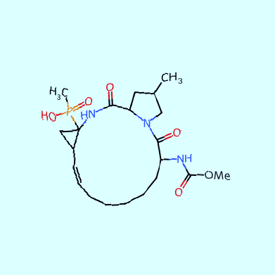 COC(=O)NC1CCCCC/C=C\C2CC2(P(C)(=O)O)NC(=O)C2CC(C)CN2C1=O